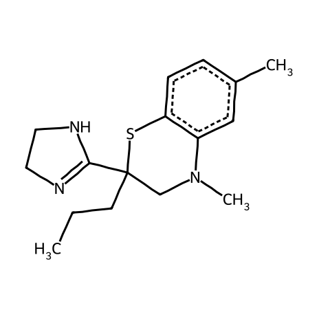 CCCC1(C2=NCCN2)CN(C)c2cc(C)ccc2S1